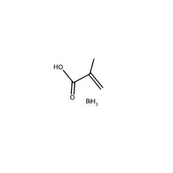 C=C(C)C(=O)O.[BiH3]